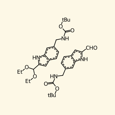 CC(C)(C)OC(=O)NCc1ccc2cc(C=O)[nH]c2c1.CCOC(OCC)c1cc2ccc(CNC(=O)OC(C)(C)C)cc2[nH]1